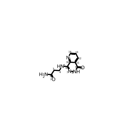 NC(=O)CCNc1n[nH]c(=O)c2cccnc12